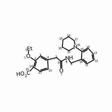 CCOc1cc(CC(=O)NCc2ccccc2N2CCCCC2)ccc1C(=O)O